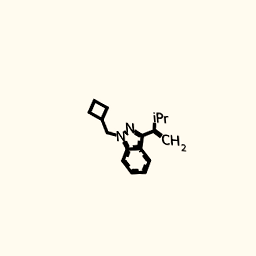 C=C(c1nn(CC2CCC2)c2ccccc12)C(C)C